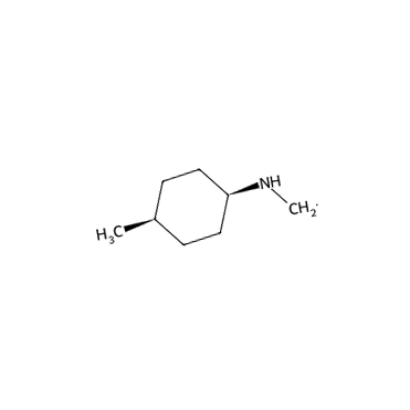 [CH2]N[C@H]1CC[C@@H](C)CC1